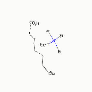 CC(C)(C)CCCCCC(=O)O.CC[N+](CC)(CC)CC